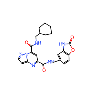 O=C(NCc1ccc2oc(=O)[nH]c2c1)c1cc(C(=O)NCC2CCCCC2)n2nccc2n1